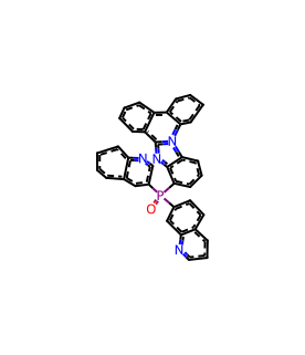 O=P(c1cnc2ccccc2c1)(c1ccc2cccnc2c1)c1cccc2c1nc1c3ccccc3c3ccccc3n21